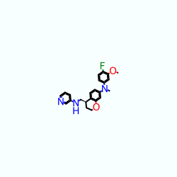 COc1cc(N(C)c2ccc3c(c2)OCC[C@H]3CNc2cccnc2)ccc1F